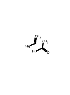 C=[CH][Hg].CC(=O)O